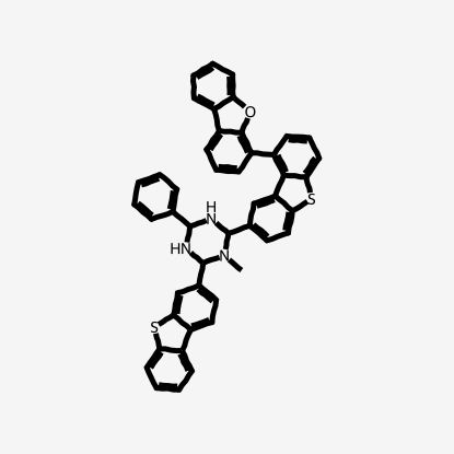 CN1C(c2ccc3c(c2)sc2ccccc23)NC(c2ccccc2)NC1c1ccc2sc3cccc(-c4cccc5c4oc4ccccc45)c3c2c1